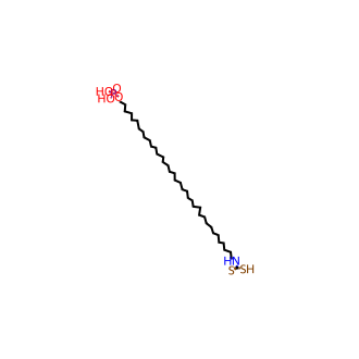 O=P(O)(O)OCCCCCCCCCCCCCCCCCCCCCCCCCCCCCCCCCCCCCNC(=S)S